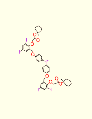 CC1(OC(=O)COc2c(I)cc(I)cc2COc2ccc([I+]c3ccc(OCc4cc(I)cc(I)c4OCC(=O)OC4(C)CCCCC4)cc3)cc2)CCCCC1